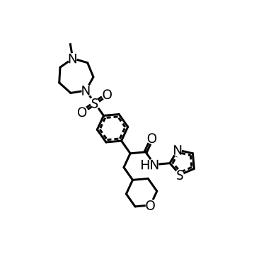 CN1CCCN(S(=O)(=O)c2ccc(C(CC3CCOCC3)C(=O)Nc3nccs3)cc2)CC1